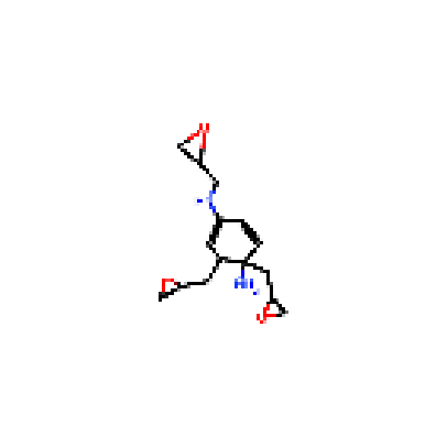 NC1(CC2CO2)C=CC(NCC2CO2)=CC1CC1CO1